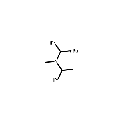 CCCCC(C(C)C)N(C)C(C)C(C)C